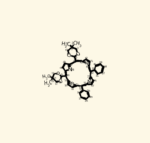 CC1(C)COC(c2c3nc(c(C4OCC(C)(C)CO4)c4ccc([nH]4)c(-c4ccccc4)c4nc(c(-c5ccccc5)c5ccc2[nH]5)C=C4)C=C3)OC1